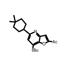 CC(=O)c1cc2nc(C3CCC(C)(C)CC3)cc(C(C)(C)C)c2o1